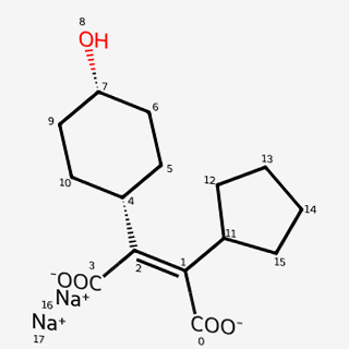 O=C([O-])C(=C(C(=O)[O-])[C@H]1CC[C@@H](O)CC1)C1CCCC1.[Na+].[Na+]